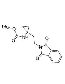 CC(C)(C)OC(=O)NC1(CCN2C(=O)c3ccccc3C2=O)CC1